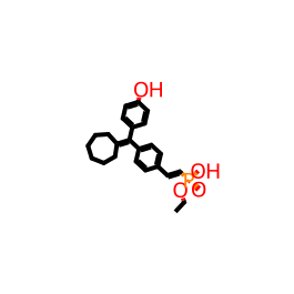 CCOP(=O)(O)/C=C/c1ccc(C(=C2CCCCCC2)c2ccc(O)cc2)cc1